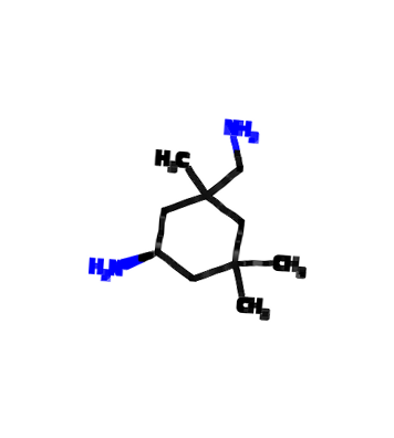 CC1(C)C[C@@H](N)CC(C)(CN)C1